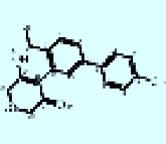 CCc1ccc(-c2ccc(Cl)cc2)cc1C1=C(O)COCC1=O